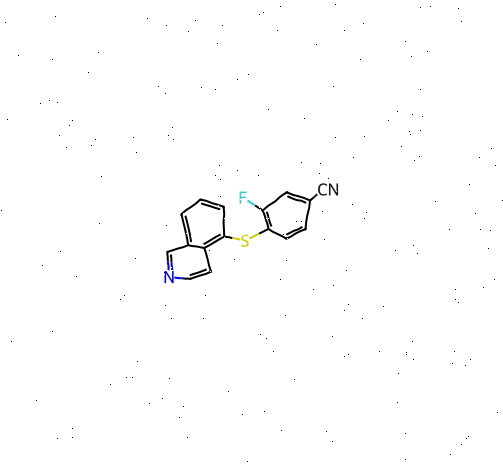 N#Cc1ccc(Sc2cccc3cnccc23)c(F)c1